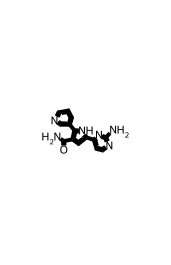 NC(=O)c1cc(-c2ccnc(N)n2)[nH]c1-c1cccnc1